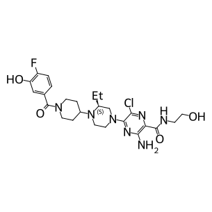 CC[C@H]1CN(c2nc(N)c(C(=O)NCCO)nc2Cl)CCN1C1CCN(C(=O)c2ccc(F)c(O)c2)CC1